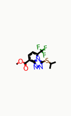 COC(=O)c1ccc(C(F)(F)F)n2c(SC(C)C)nnc12